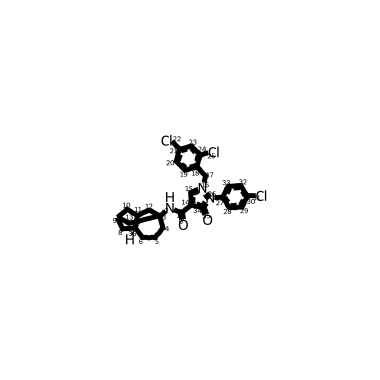 O=C(NC12CCC[C@H]3CC(CC3C1)C2)c1cn(Cc2ccc(Cl)cc2Cl)n(-c2ccc(Cl)cc2)c1=O